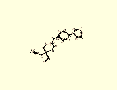 CCC1(CC#N)CCN(Cc2ccc(-c3ccccc3)cc2)CC1